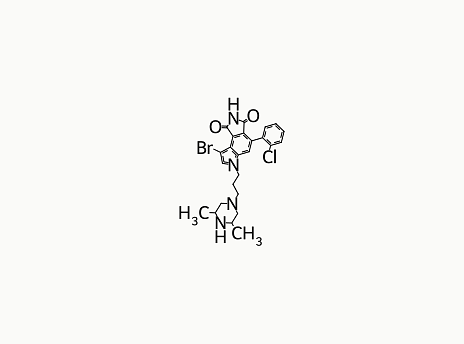 CC1CN(CCCn2cc(Br)c3c4c(c(-c5ccccc5Cl)cc32)C(=O)NC4=O)CC(C)N1